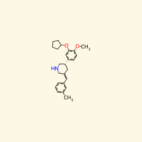 COc1ccc([C@H]2CNCC(=Cc3cccc(C)c3)C2)cc1OC1CCCC1